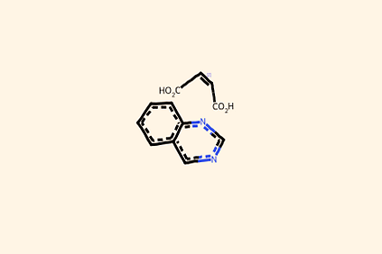 O=C(O)/C=C\C(=O)O.c1ccc2ncncc2c1